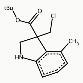 Cc1cccc2c1C(CCl)(C(=O)OC(C)(C)C)CN2